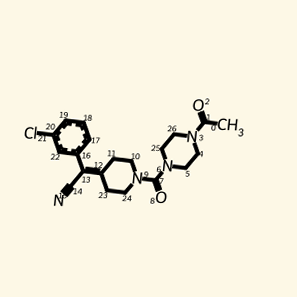 CC(=O)N1CCN(C(=O)N2CCC(=C(C#N)c3cccc(Cl)c3)CC2)CC1